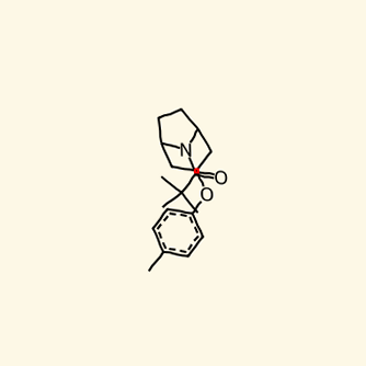 Cc1ccc(OC2CC3CCC(C2)N3C(=O)C(C)(C)C)cc1